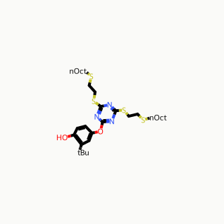 CCCCCCCCSCCSc1nc(Oc2ccc(O)c(C(C)(C)C)c2)nc(SCCSCCCCCCCC)n1